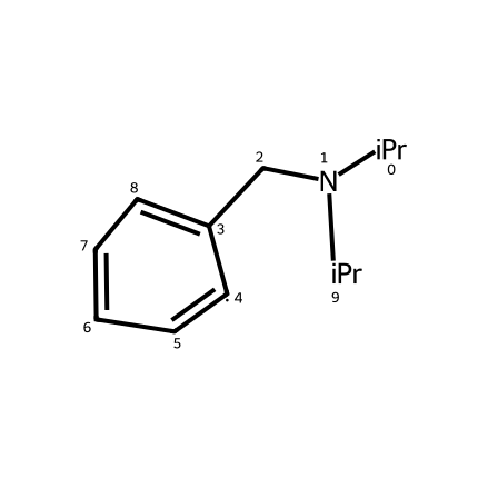 CC(C)N(Cc1[c]cccc1)C(C)C